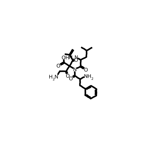 C=C(C)C(=O)C(C(=O)O)(C(=O)CN)N(C(=O)C(N)Cc1ccccc1)C(=O)C(N)CC(C)C